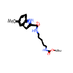 COc1ccc2[nH]c(C(=O)NCCCCCNC(=O)OC(C)(C)C)cc2c1